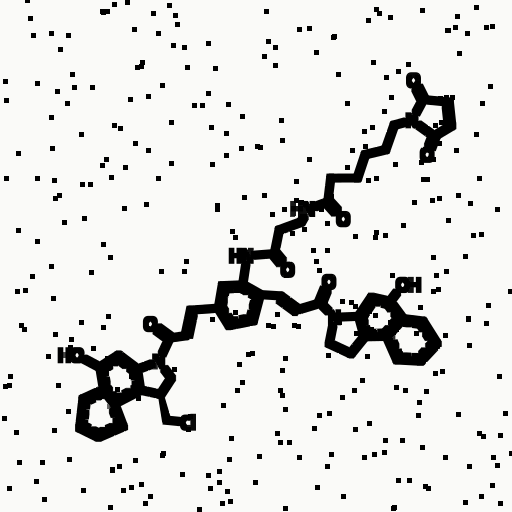 O=C(CCCCCN1C(=O)C=CC1=O)NCCC(=O)Nc1cc(/C=C/C(=O)N2C[C@@H](CCl)c3c2cc(O)c2ccccc32)ccc1/C=C/C(=O)N1CCc2c1cc(O)c1ccccc21